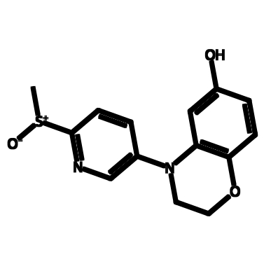 C[S+]([O-])c1ccc(N2CCOc3ccc(O)cc32)cn1